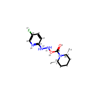 C[C@@H]1CCC[C@H](C)N1C(=O)ONNc1ccc(F)cn1